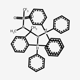 CN(C(C)(C)N([PH](c1ccccc1)(c1ccccc1)c1ccccc1)[PH](c1ccccc1)(c1ccccc1)c1ccccc1)S(=O)(=O)C(F)(F)F